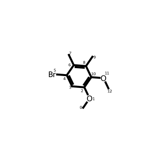 COc1cc(Br)c(C)c(C)c1OC